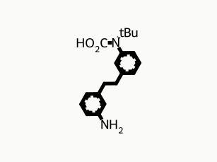 CC(C)(C)N(C(=O)O)c1cccc(CCc2cccc(N)c2)c1